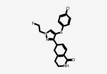 O=C1NCCC2=C1C=CC(c1nn(CCF)cc1Sc1ccc(Cl)cc1)C2